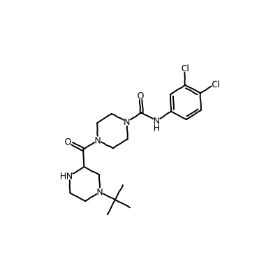 CC(C)(C)N1CCNC(C(=O)N2CCN(C(=O)Nc3ccc(Cl)c(Cl)c3)CC2)C1